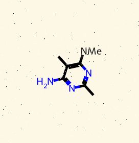 CNc1nc(C)nc(N)c1C